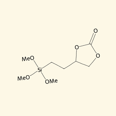 CO[Si](CCC1COC(=O)O1)(OC)OC